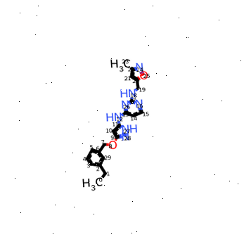 CCc1cccc(COc2cc(Nc3ccnc(NCc4cc(C)no4)n3)[nH]n2)c1